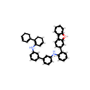 C1=CCCC(C2=C(Nc3cccc(-c4cccc(Nc5ccccc5-c5ccc6c(c5)oc5ccccc56)c4)c3)C=CCC2)=C1